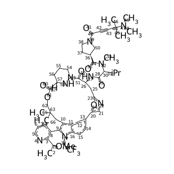 CO[C@@H](C)c1ncccc1-c1c2c3cc(ccc3n1CC(F)(F)F)-c1cnc(o1)C[C@H](NC(=O)C(C(C)C)N(C)C(=O)[C@H]1CCN(C(=O)C#CC(C)(C)N(C)C)C1)C(=O)N1CCC[C@H](N1)C(=O)OCC(C)(C)C2